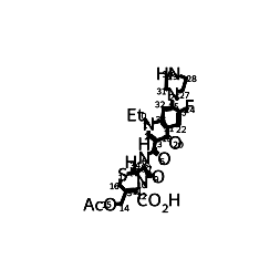 CCn1cc(C(=O)N[C@@H]2C(=O)N3C(C(=O)O)=C(COC(C)=O)CS[C@H]23)c(=O)c2cc(F)c(N3CCNCC3)cc21